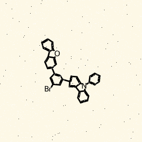 Brc1cc(-c2ccc3c(c2)oc2ccccc23)cc(-c2ccc3c(c2)c2ccccc2n3-c2ccccc2)c1